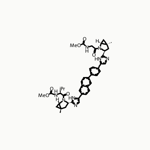 COC(=O)NCC(=O)N1[C@H]2C[C@@]2(C)C[C@H]1c1ncc(-c2ccc(-c3ccc4cc(-c5cnc([C@@H]6C[C@]7(C)C[C@@H]7N6C(=O)[C@@H](NC(=O)OC)C(C)C)[nH]5)ccc4c3)cc2)[nH]1